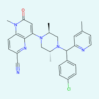 Cc1ccnc(C(c2ccc(Cl)cc2)N2C[C@H](C)N(c3cc(=O)n(C)c4ccc(C#N)nc34)C[C@H]2C)c1